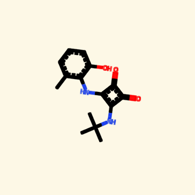 Cc1cccc(O)c1Nc1c(NC(C)(C)C)c(=O)c1=O